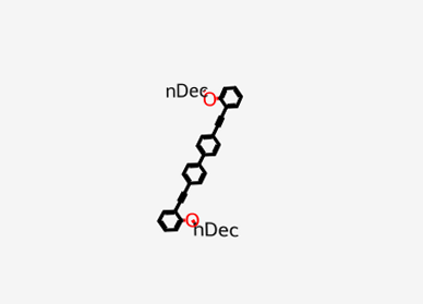 CCCCCCCCCCOc1ccccc1C#Cc1ccc(-c2ccc(C#Cc3ccccc3OCCCCCCCCCC)cc2)cc1